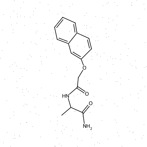 CC(NC(=O)COc1ccc2ccccc2c1)C(N)=O